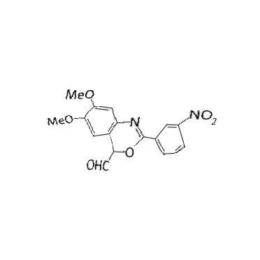 COc1cc2c(cc1OC)C(C=O)OC(c1cccc([N+](=O)[O-])c1)=N2